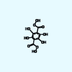 O=C(OO)c1c(O)c(O)c(C(=O)OO)c(O)c1O